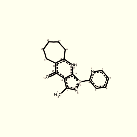 Cc1nn(-c2ccccn2)c2[nH]c3c(c(=O)c12)CCCCC3